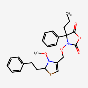 CCCC1(c2ccccc2)C(=O)OC(=O)N1OCC1=CSC(CCc2ccccc2)N1OC